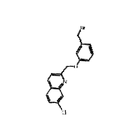 Clc1ccc2ccc(COc3cccc(CBr)c3)nc2c1